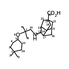 CC1(C)CCC(OC(C)(C)CNC2C3CC4CC2CC(C(=O)O)(C4)C3)CC1